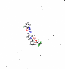 O=C(c1ccccc1OC(F)(F)C(F)F)N1CC[C@H](CNc2nc3cccc(F)c3o2)C1